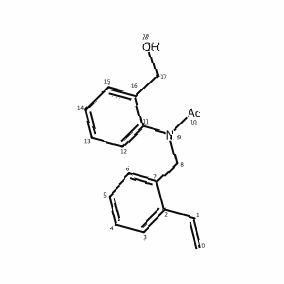 C=Cc1ccccc1CN(C(C)=O)c1ccccc1CO